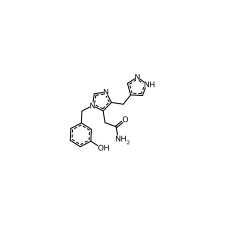 NC(=O)Cc1c(Cc2cn[nH]c2)ncn1Cc1cccc(O)c1